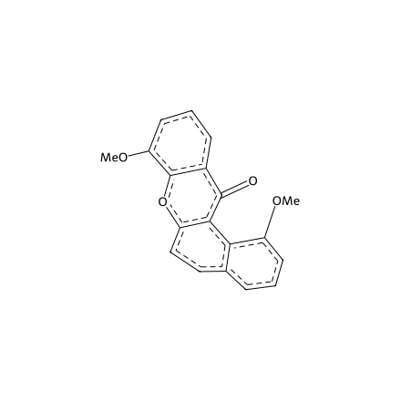 COc1cccc2c(=O)c3c(ccc4cccc(OC)c43)oc12